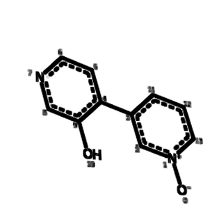 [O-][n+]1[c]c(-c2ccncc2O)ccc1